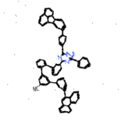 N#Cc1cc(-c2cccc(-c3cc4ccccc4c4ccccc34)c2)cc(-c2ccccc2-c2cccc(-c3nc(-c4ccccc4)nc(-c4ccc(-c5ccc6c(c5)-c5cccc7cccc-6c57)cc4)n3)c2)c1